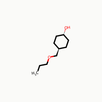 CCCOC[C@H]1CC[C@H](O)CC1